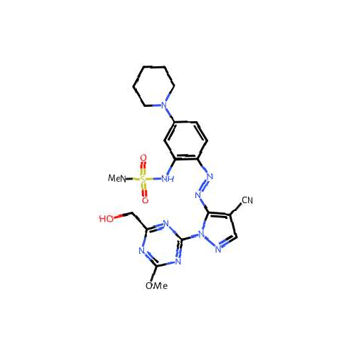 CNS(=O)(=O)Nc1cc(N2CCCCC2)ccc1/N=N/c1c(C#N)cnn1-c1nc(CO)nc(OC)n1